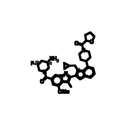 COc1cc(C(=O)N2C[C@H](N)C[C@@H](F)C2)cn2nc(-c3cc4cccc(C5CCN(C(=O)C6CCCO6)CC5)c4n3CC3CC3)c(C)c12